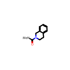 CNC(=O)N1CCc2ccccc2C1